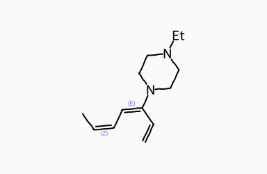 C=C/C(=C\C=C/C)N1CCN(CC)CC1